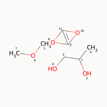 CC(O)CO.COC.o1c2oc1=2